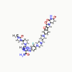 C=C(/N=C(Nc1ccc(N2CCN(CC3CCN(c4ccc5c6c(oc5c4)C(=O)N(C4CCC(=O)NC4=O)C6)C3)CC2)c(F)c1)\C(=N/N)C(N)=O)N1CCC[C@@H](N2CCN(C)C2=O)C1